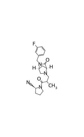 CC(CN1C[C@@H]2C[C@H]1C(=O)N2Cc1cccc(F)c1)C(=O)N1CCC[C@H]1C#N